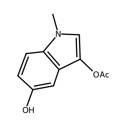 CC(=O)Oc1cn(C)c2ccc(O)cc12